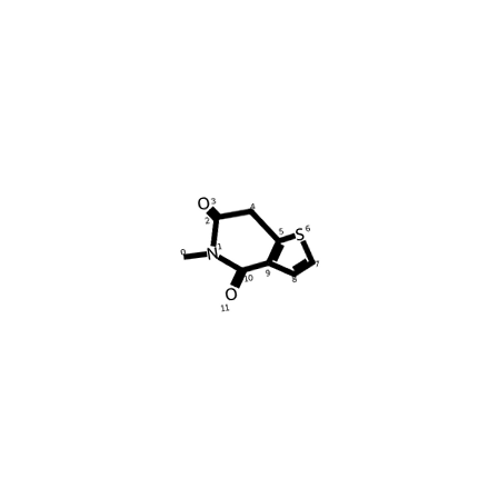 CN1C(=O)Cc2sccc2C1=O